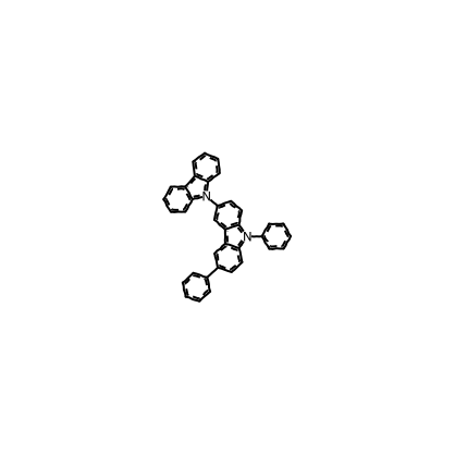 c1ccc(-c2ccc3c(c2)c2cc(-n4c5ccccc5c5ccccc54)ccc2n3-c2ccccc2)cc1